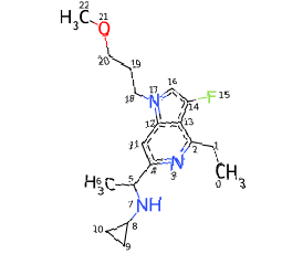 CCc1nc(C(C)NC2CC2)cc2c1c(F)cn2CCCOC